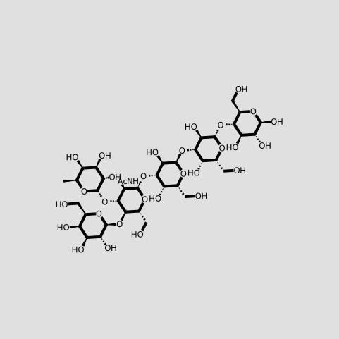 CC(=O)N[C@H]1[C@H](O[C@H]2[C@@H](O)[C@@H](CO)O[C@H](O[C@H]3[C@@H](O)[C@@H](CO)O[C@@H](O[C@H]4[C@H](O)[C@@H](O)[C@H](O)O[C@@H]4CO)[C@@H]3O)[C@@H]2O)O[C@H](CO)[C@@H](O[C@@H]2O[C@H](CO)[C@H](O)[C@H](O)[C@H]2O)[C@@H]1O[C@@H]1O[C@@H](C)[C@@H](O)[C@@H](O)[C@@H]1O